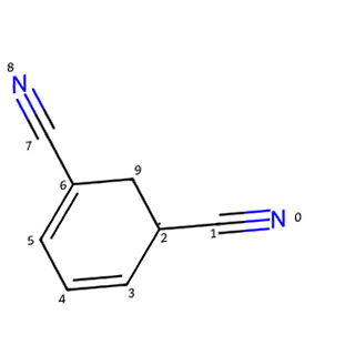 N#C[C]1C=CC=C(C#N)C1